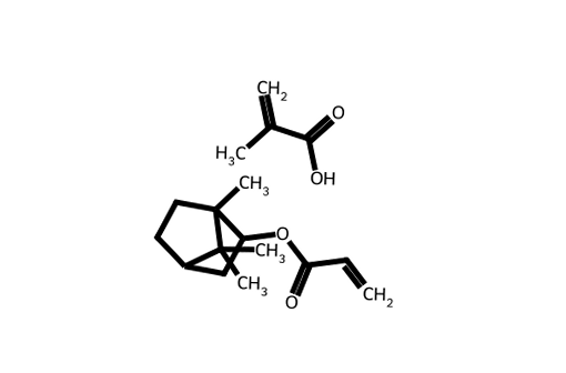 C=C(C)C(=O)O.C=CC(=O)OC1CC2CCC1(C)C2(C)C